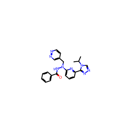 CC(C)n1cnnc1-c1cccc(N(Cc2ccnnc2)NC(=O)c2ccccc2)n1